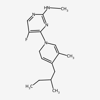 CCC(C)CC1=CCN(c2nc(NC)ncc2F)C=C1C